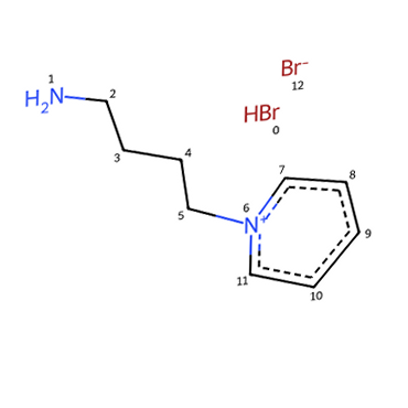 Br.NCCCC[n+]1ccccc1.[Br-]